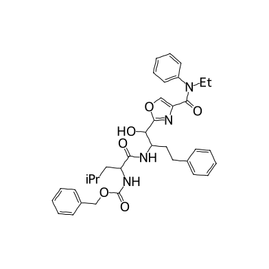 CCN(C(=O)c1coc(C(O)C(CCc2ccccc2)NC(=O)C(CC(C)C)NC(=O)OCc2ccccc2)n1)c1ccccc1